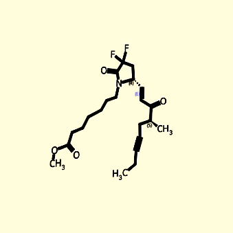 CCC#CC[C@H](C)C(=O)/C=C/[C@H]1CC(F)(F)C(=O)N1CCCCCCC(=O)OC